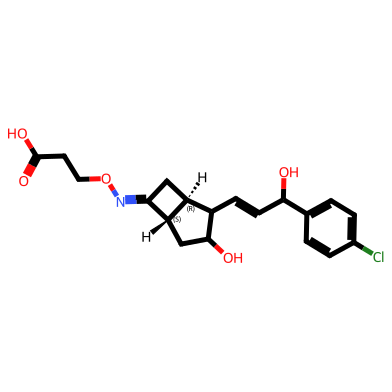 O=C(O)CCON=C1C[C@H]2C(C=CC(O)c3ccc(Cl)cc3)C(O)C[C@H]12